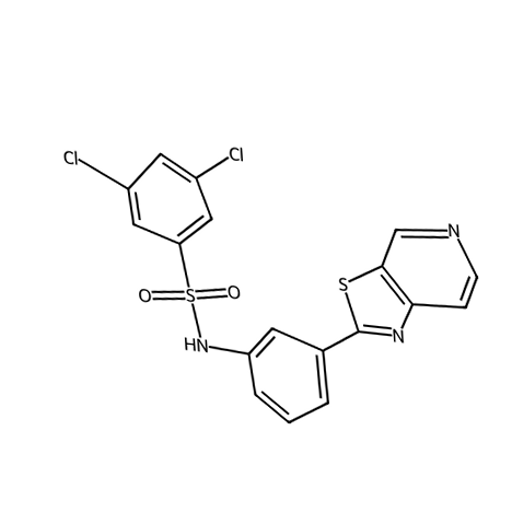 O=S(=O)(Nc1cccc(-c2nc3ccncc3s2)c1)c1cc(Cl)cc(Cl)c1